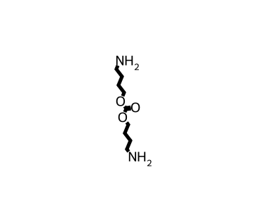 NCCCCOC(=O)OCCCCN